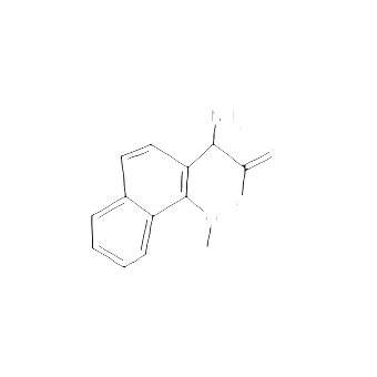 COc1c(C(N)C(=O)Cl)ccc2ccccc12